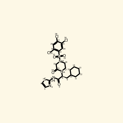 O=C(Nc1nccs1)[C@H](CC1CCCCC1)N1CCN(S(=O)(=O)c2cc(Cl)c(Cl)cc2Cl)CC1=O